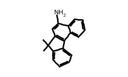 CC1(C)c2ccccc2-c2c1cc(N)c1ccccc21